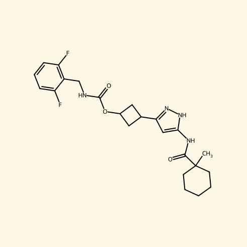 CC1(C(=O)Nc2cc(C3CC(OC(=O)NCc4c(F)cccc4F)C3)n[nH]2)CCCCC1